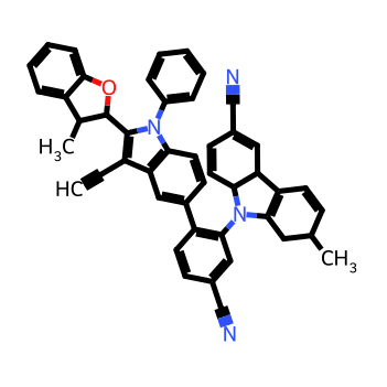 C#Cc1c(C2Oc3ccccc3C2C)n(-c2ccccc2)c2ccc(-c3ccc(C#N)cc3N3C4=C(C=CC(C)C4)C4C=C(C#N)C=CC43)cc12